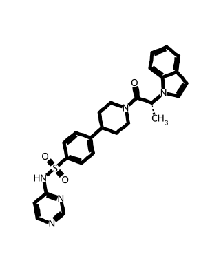 C[C@H](C(=O)N1CCC(c2ccc(S(=O)(=O)Nc3ccncn3)cc2)CC1)n1ccc2ccccc21